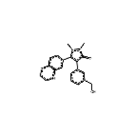 Cn1c(-c2ccc3nccnc3c2)c(-c2cccc(CO)c2)c(=O)n1C